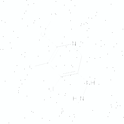 COc1ncc(NN)c(Cl)c1Cl